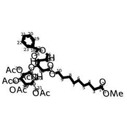 COC(=O)CCCCCCCCO[C@@H]1O[C@@H]2COC(c3ccccc3)O[C@H]2[C@H](O[C@@H]2O[C@H](COC(C)=O)[C@H](OC(C)=O)[C@H](OC(C)=O)[C@H]2OC(C)=O)[C@H]1NC(C)=O